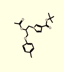 CC(=O)OC(COc1ccc(C)cc1)Cn1ccc(C(=O)OC(C)(C)C)c1